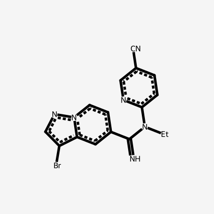 CCN(C(=N)c1ccn2ncc(Br)c2c1)c1ccc(C#N)cn1